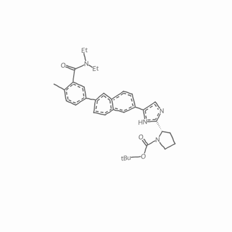 CCN(CC)C(=O)c1cc(-c2ccc3cc(-c4cnc([C@@H]5CCCN5C(=O)OC(C)(C)C)[nH]4)ccc3c2)ccc1C